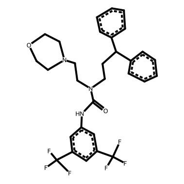 O=C(Nc1cc(C(F)(F)F)cc(C(F)(F)F)c1)N(CCC(c1ccccc1)c1ccccc1)CCN1CCOCC1